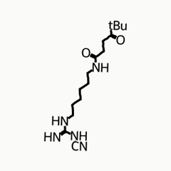 CC(C)(C)C(=O)CCC(=O)NCCCCCCNC(=N)NC#N